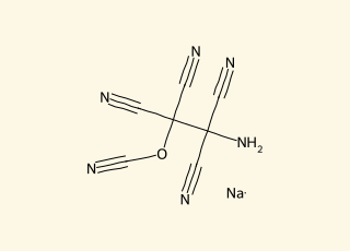 N#COC(C#N)(C#N)C(N)(C#N)C#N.[Na]